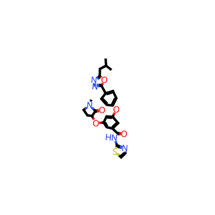 CC(C)Cc1nnc(-c2ccc(Oc3cc(OC4CCN(C)C4=O)cc(C(=O)Nc4nccs4)c3)cc2)o1